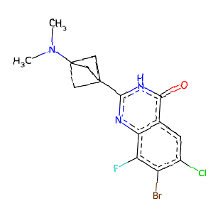 CN(C)C12CC(c3nc4c(F)c(Br)c(Cl)cc4c(=O)[nH]3)(C1)C2